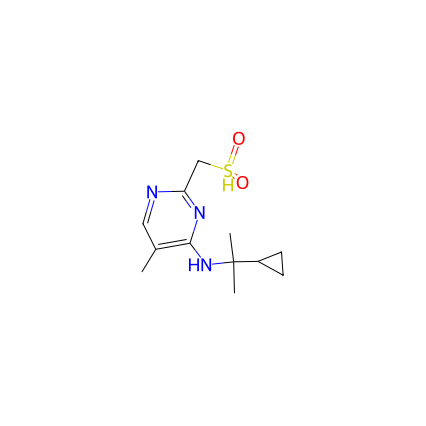 Cc1cnc(C[SH](=O)=O)nc1NC(C)(C)C1CC1